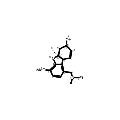 CCN(C)Cc1ccc(OC)c2c1C1C=C[C@H](O)C[C@@H]1O2